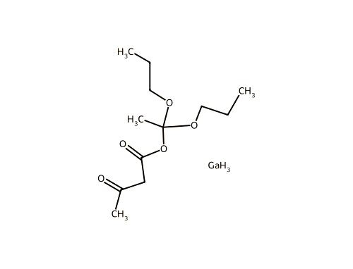 CCCOC(C)(OCCC)OC(=O)CC(C)=O.[GaH3]